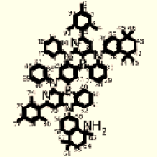 Cc1cc(C)c(-c2cc3c4c(n2)N(c2ccccc2)c2cc5c(cc2B4c2ccccc2N3c2ccc3c(c2)C(C)(C)CCC3(C)C)B2c3ccccc3N(c3ccc4c(c3)C(C)(N)CCC4(C)C)c3cc(-c4c(C)cc(C)cc4C)nc(c32)N5c2ccccc2)c(C)c1